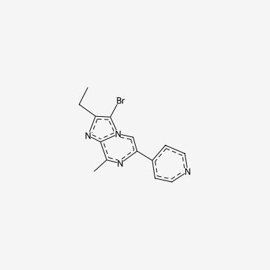 CCc1nc2c(C)nc(-c3ccncc3)cn2c1Br